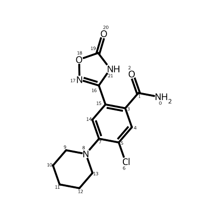 NC(=O)c1cc(Cl)c(N2CCCCC2)cc1-c1noc(=O)[nH]1